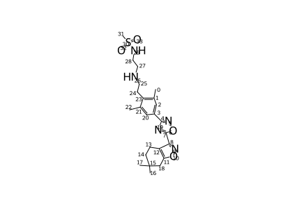 Cc1cc(-c2noc(-c3noc4c3CCC(C)(C)C4)n2)cc(C)c1CCNCCNS(C)(=O)=O